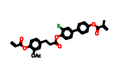 C=CC(=O)Oc1ccc(CCC(=O)Oc2ccc(-c3ccc(OC(=O)C(=C)C)cc3)cc2F)cc1OC(C)=O